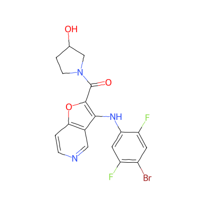 O=C(c1oc2ccncc2c1Nc1cc(F)c(Br)cc1F)N1CCC(O)C1